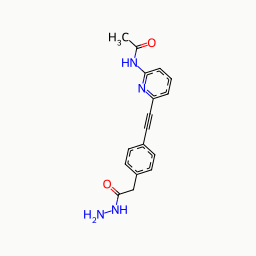 CC(=O)Nc1cccc(C#Cc2ccc(CC(=O)NN)cc2)n1